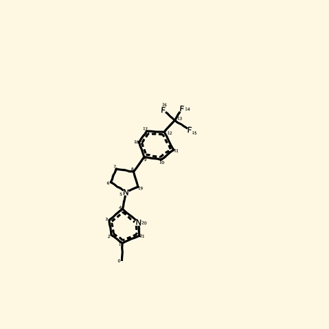 Cc1ccc(N2CCC(c3ccc(C(F)(F)F)cc3)C2)nc1